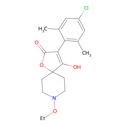 CCON1CCC2(CC1)OC(=O)C(c1c(C)cc(Cl)cc1C)=C2O